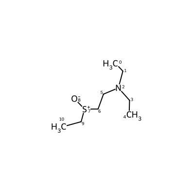 CCN(CC)CC[S+]([O-])CC